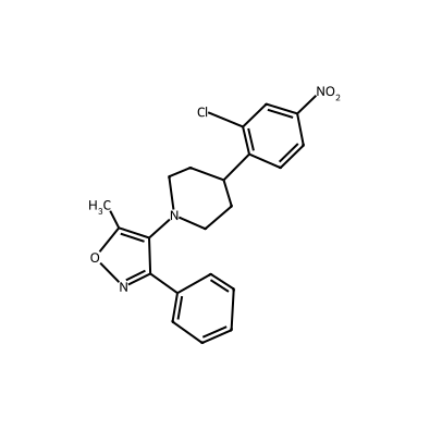 Cc1onc(-c2ccccc2)c1N1CCC(c2ccc([N+](=O)[O-])cc2Cl)CC1